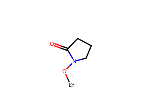 CCON1CCCC1=O